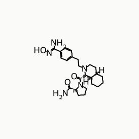 NC(=O)[C@@H]1CCCN1C(=O)[C@H]1[C@H]2CCCC[C@H]2CCN1CCc1ccc(C(N)=NO)cc1